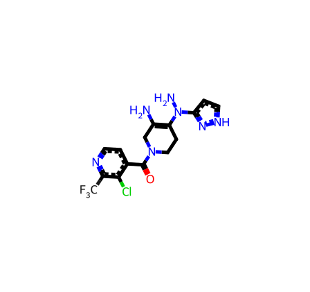 NC1=C(N(N)c2cc[nH]n2)CCN(C(=O)c2ccnc(C(F)(F)F)c2Cl)C1